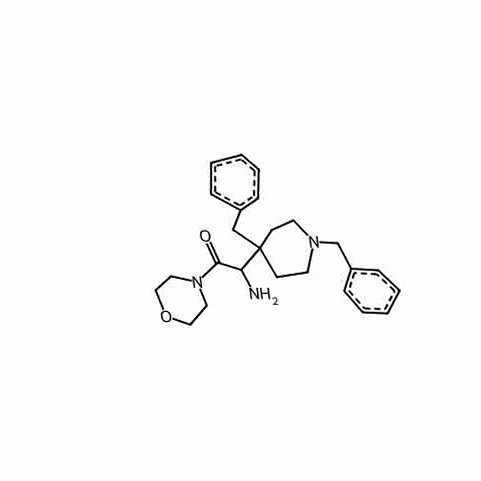 NC(C(=O)N1CCOCC1)C1(Cc2ccccc2)CCN(Cc2ccccc2)CC1